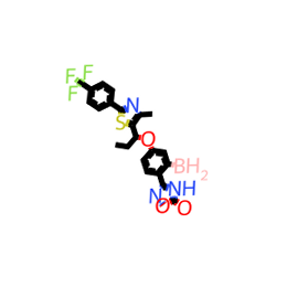 Bc1cc(OC(CC)c2sc(-c3ccc(C(F)(F)F)cc3)nc2C)ccc1-c1noc(=O)[nH]1